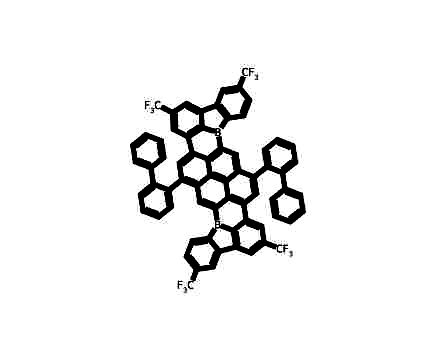 FC(F)(F)c1ccc2c(c1)-c1cc(C(F)(F)F)cc3c1B2c1cc2c(-c4ccccc4-c4ccccc4)cc4c5c(cc6c(-c7ccccc7-c7ccccc7)cc-3c1c6c25)B1c2ccc(C(F)(F)F)cc2-c2cc(C(F)(F)F)cc-4c21